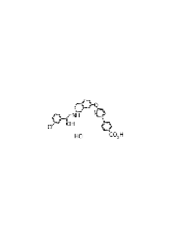 Cl.O=C(O)c1ccc(-c2ccc(Oc3ccc4c(c3)C[C@@H](NC[C@@H](O)c3cccc(Cl)c3)CC4)nc2)cc1